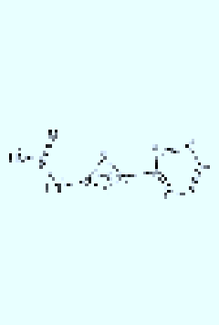 O=C(O)NC12CC(c3ccccc3)(C1)C2